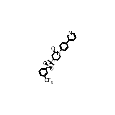 CC(C)([C@H]1CCN(c2ccc(-c3cccnc3)cc2)C(=O)C1)S(=O)(=O)c1cccc(C(F)(F)F)c1